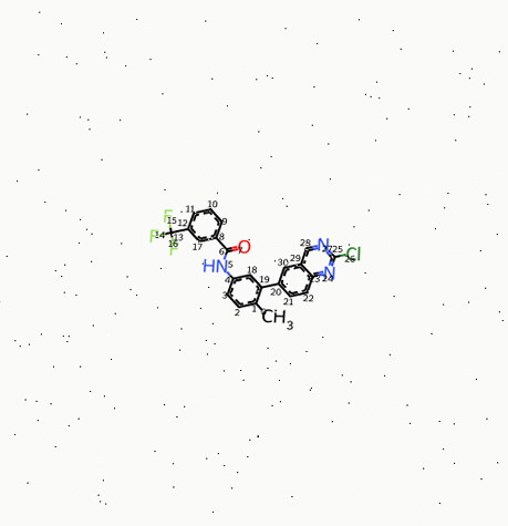 Cc1ccc(NC(=O)c2cccc(C(F)(F)F)c2)cc1-c1ccc2nc(Cl)ncc2c1